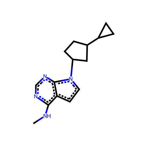 CNc1ncnc2c1ccn2C1CCC(C2CC2)C1